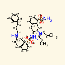 CCCN(CCC)C1CCc2cccc(S(N)(=O)=O)c2C1.NS(=O)(=O)c1cccc2c1CC(NCCCc1ccccc1)CC2